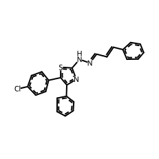 Clc1ccc(-c2sc(NN=CC=Cc3ccccc3)nc2-c2ccccc2)cc1